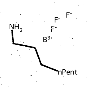 CCCCCCCCN.[B+3].[F-].[F-].[F-]